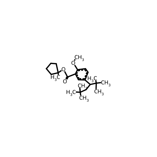 COc1ccc(C(CC(C)(C)C)C(C)(C)C)cc1C(=O)OC1(C)CCCC1